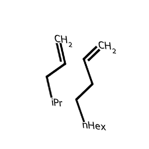 C=CCC(C)C.C=CCCCCCCCC